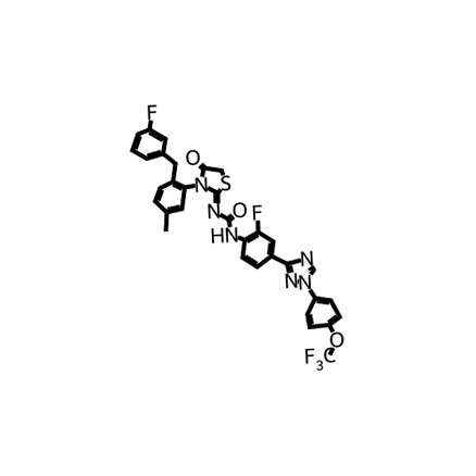 Cc1ccc(Cc2cccc(F)c2)c(N2C(=O)CS/C2=N\C(=O)Nc2ccc(-c3ncn(-c4ccc(OC(F)(F)F)cc4)n3)cc2F)c1